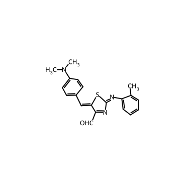 Cc1ccccc1N=C1N=C(C=O)C(=Cc2ccc(N(C)C)cc2)S1